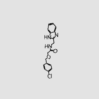 O=C(COCc1ccc(Cl)cc1)NCc1nc2ccccc2[nH]1